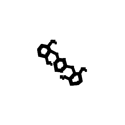 Cc1cccc(C)c1Oc1ncnc(Oc2c(C)cccc2C)n1